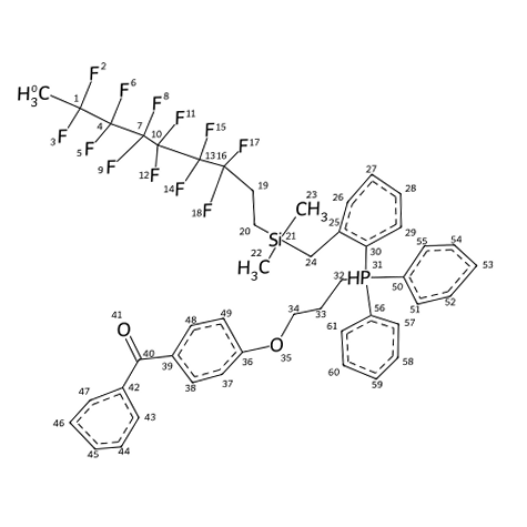 CC(F)(F)C(F)(F)C(F)(F)C(F)(F)C(F)(F)C(F)(F)CC[Si](C)(C)Cc1ccccc1[PH](CCCOc1ccc(C(=O)c2ccccc2)cc1)(c1ccccc1)c1ccccc1